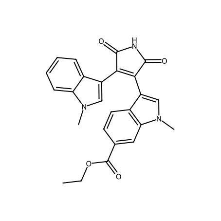 CCOC(=O)c1ccc2c(C3=C(c4cn(C)c5ccccc45)C(=O)NC3=O)cn(C)c2c1